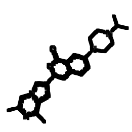 Cc1cn2cc(-c3cc4ccc(N5CCN(C(C)C)CC5)cc4c(=O)o3)cc2c(C)n1